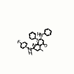 Cc1cc(Nc2ccc(F)cc2)nc2c1c(=O)cc(Nc1ccccc1)n2-c1ccccc1